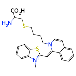 C[n+]1c(C=C2c3ccccc3C=CN2CCCCSCC(N)C(=O)O)sc2ccccc21